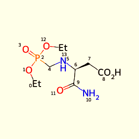 CCOP(=O)(CN[C@@H](CC(=O)O)C(N)=O)OCC